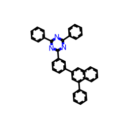 c1ccc(-c2nc(-c3ccccc3)nc(-c3cccc(-c4cc(-c5ccccc5)c5ccccc5c4)c3)n2)cc1